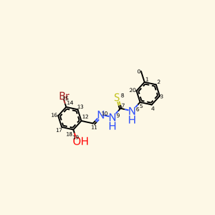 Cc1cccc(NC(=S)NN=Cc2cc(Br)ccc2O)c1